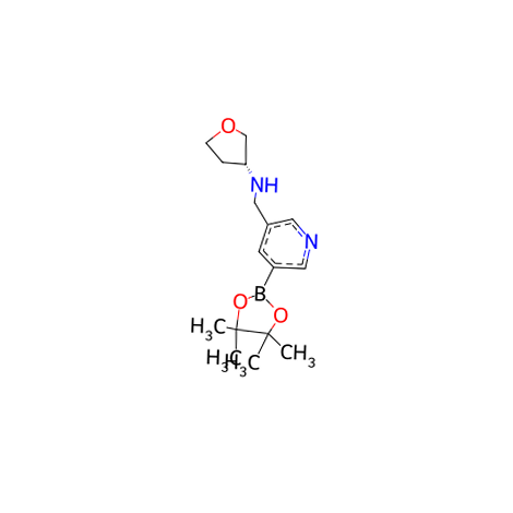 CC1(C)OB(c2cncc(CN[C@@H]3CCOC3)c2)OC1(C)C